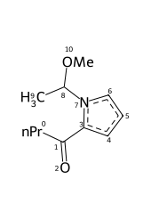 CCCC(=O)c1cccn1C(C)OC